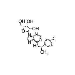 C[C@@H](Nc1ncnc2c1ncn2[C@@H]1O[C@H](CO)[C@H](O)C1O)c1ccc(Cl)cc1